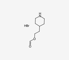 Br.O=COCCC1CCNCC1